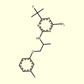 CC(COc1cccc(I)c1)Nc1nc(N)nc(C(C)(C)F)n1